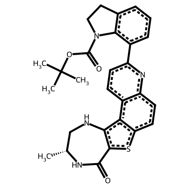 C[C@@H]1CNc2c(sc3ccc4nc(-c5cccc6c5N(C(=O)OC(C)(C)C)CC6)ccc4c23)C(=O)N1